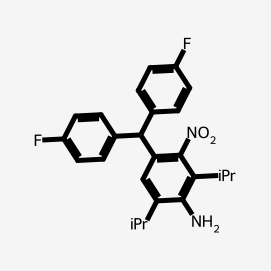 CC(C)c1cc(C(c2ccc(F)cc2)c2ccc(F)cc2)c([N+](=O)[O-])c(C(C)C)c1N